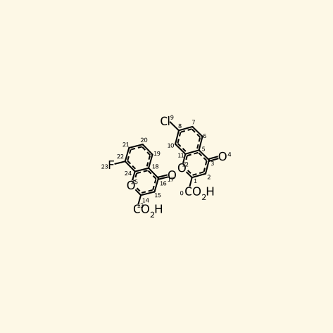 O=C(O)c1cc(=O)c2ccc(Cl)cc2o1.O=C(O)c1cc(=O)c2cccc(F)c2o1